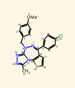 COc1ccc(CN2N=C(c3ccc(Cl)cc3)c3ccsc3-n3c(C)nnc32)cc1